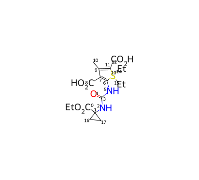 CCOC(=O)C1(NC(=O)NC2=C(C(=O)O)C(C)=C(C(=O)O)S2(CC)CC)CC1